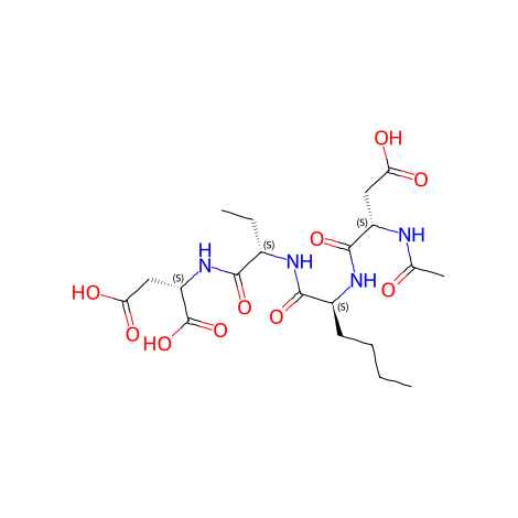 CCCC[C@H](NC(=O)[C@H](CC(=O)O)NC(C)=O)C(=O)N[C@@H](CC)C(=O)N[C@@H](CC(=O)O)C(=O)O